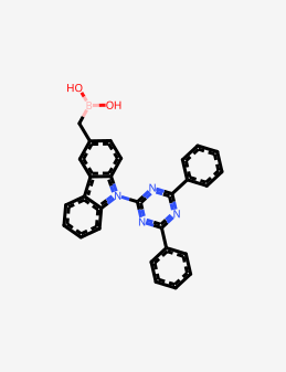 OB(O)Cc1ccc2c(c1)c1ccccc1n2-c1nc(-c2ccccc2)nc(-c2ccccc2)n1